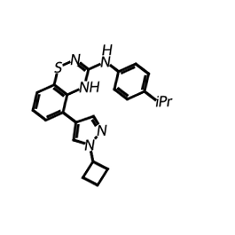 CC(C)c1ccc(NC2=NSc3cccc(-c4cnn(C5CCC5)c4)c3N2)cc1